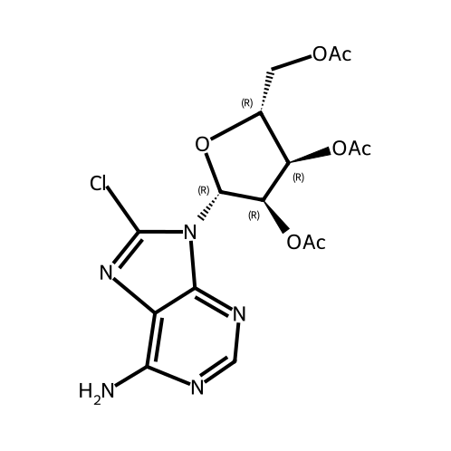 CC(=O)OC[C@H]1O[C@@H](n2c(Cl)nc3c(N)ncnc32)[C@H](OC(C)=O)[C@@H]1OC(C)=O